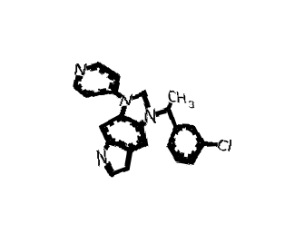 CC(c1cccc(Cl)c1)N1CN(c2ccncc2)c2cc3c(cc21)CC=N3